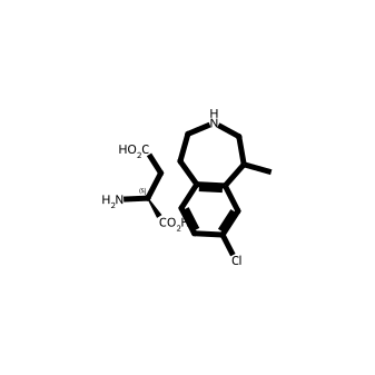 CC1CNCCc2ccc(Cl)cc21.N[C@@H](CC(=O)O)C(=O)O